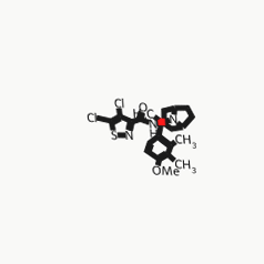 COc1ccc(C(C)N2C3CCC2CC(NC(=O)c2nsc(Cl)c2Cl)C3)c(C)c1C